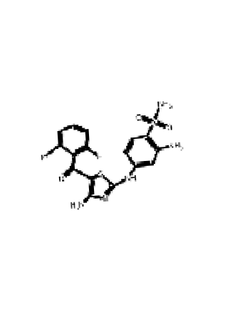 Nc1cc(Nc2nc(N)c(C(=O)c3c(F)cccc3F)s2)ccc1S(N)(=O)=O